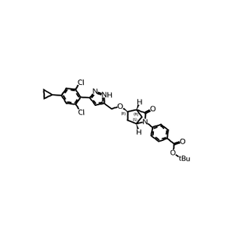 CC(C)(C)OC(=O)c1ccc(N2C(=O)[C@@H]3C[C@H]2C[C@H]3OCc2cc(-c3c(Cl)cc(C4CC4)cc3Cl)n[nH]2)cc1